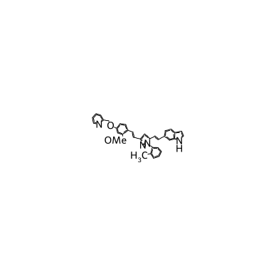 COc1cc(OCc2ccccn2)ccc1C=Cc1cc(C=Cc2ccc3cc[nH]c3c2)n(-c2ccccc2C)n1